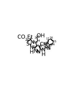 CCOC(=O)c1csc(Nc2nnc(Nc3nc4ccccc4s3)c(C)c2CCCO)n1